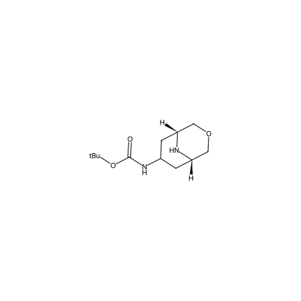 CC(C)(C)OC(=O)NC1C[C@H]2COC[C@@H](C1)N2